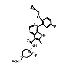 CC(=O)N[C@H]1CC[C@H](NC(=O)c2c(C)[nH]c3c(-c4cc(F)ccc4OCC4CC4)ncnc23)[C@H](F)C1